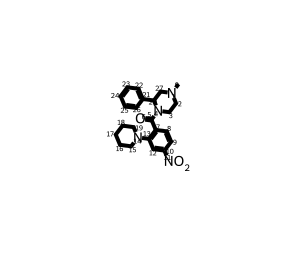 CN1CCN(C(=O)c2ccc([N+](=O)[O-])cc2N2CCCCC2)C(c2ccccc2)C1